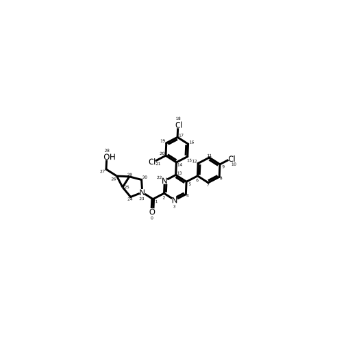 O=C(c1ncc(-c2ccc(Cl)cc2)c(-c2ccc(Cl)cc2Cl)n1)N1CC2C(CO)C2C1